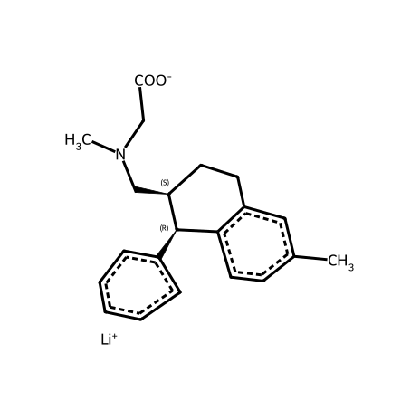 Cc1ccc2c(c1)CC[C@H](CN(C)CC(=O)[O-])[C@@H]2c1ccccc1.[Li+]